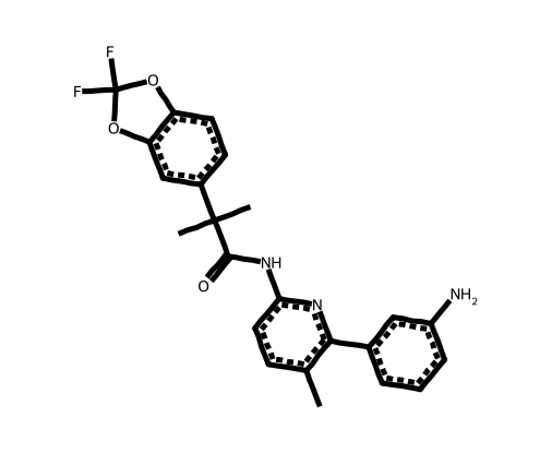 Cc1ccc(NC(=O)C(C)(C)c2ccc3c(c2)OC(F)(F)O3)nc1-c1cccc(N)c1